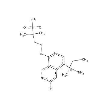 CC[C@@](C)(N)c1cnc(OCCC(C)(C)S(C)(=O)=O)c2cnc(Cl)cc12